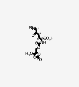 Cc1oc(=O)oc1COC(=O)N[C@@H](CCC(=O)C=[N+]=[N-])C(=O)O